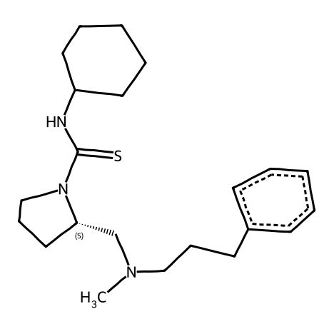 CN(CCCc1ccccc1)C[C@@H]1CCCN1C(=S)NC1CCCCC1